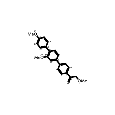 C=C(COC)c1ccc(-c2ccc(-c3ccc(OC)cc3)c(OC)c2)cc1